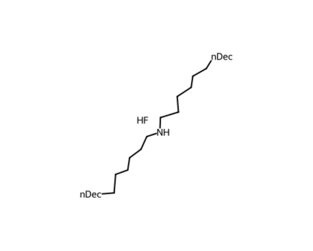 CCCCCCCCCCCCCCCCNCCCCCCCCCCCCCCCC.F